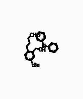 CC(C)(C)c1ccc(CCCC=O)c(CO[SiH](c2ccccc2)c2ccccc2)c1